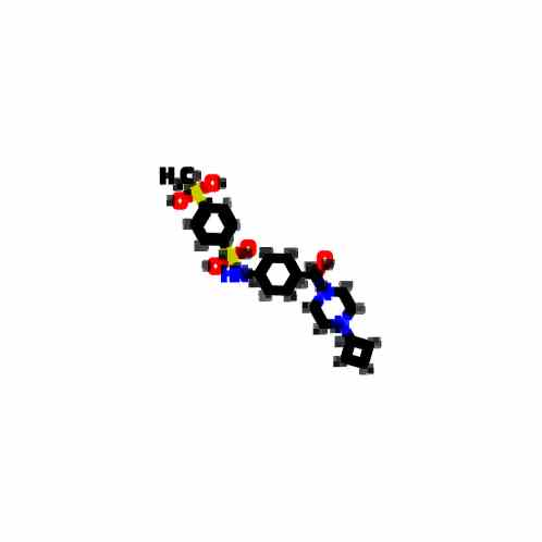 CS(=O)(=O)c1ccc(S(=O)(=O)N[C@H]2CC[C@H](C(=O)N3CCN(C4CCC4)CC3)CC2)cc1